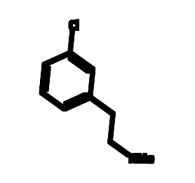 CNCCc1cccc(Cl)c1